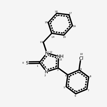 S=c1nc(-c2ccccc2Cl)[nH]n1Cc1ccccc1